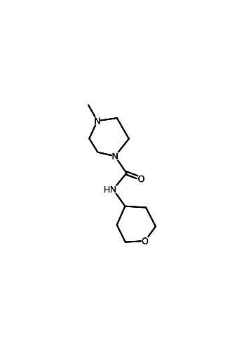 CN1CCN(C(=O)NC2CCOCC2)CC1